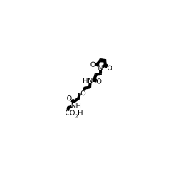 O=C(O)CNC(=O)CCOCCNC(=O)CCN1C(=O)C=CC1=O